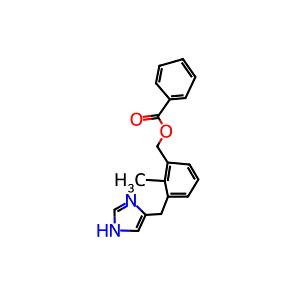 Cc1c(COC(=O)c2ccccc2)cccc1Cc1c[nH]cn1